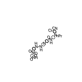 CCCN(c1ccc(C#N)c(Cl)c1)[C@H]1CC[C@H](NC(=O)c2ccc(N3CCC(NCCNc4ccc5c(c4)C(=O)N(C4CCC(=O)NC4=O)C5=O)CC3)cc2)CC1